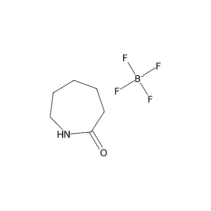 F[B-](F)(F)F.O=C1CCCCCN1